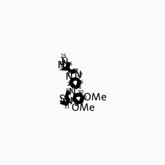 COc1cc(OC)cc(N(Cc2nccs2)c2ccc3ncc(-c4cnn(C)c4)nc3c2)c1